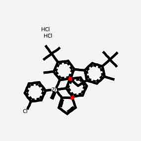 Cl.Cl.[CH2]=[Zr]([C]1=CC=CC1)([c]1ccccc1)([c]1cccc(Cl)c1)[c]1c(C)c(C(C)(C)C)cc2c1Cc1cc(C)c(C(C)(C)C)cc1-2